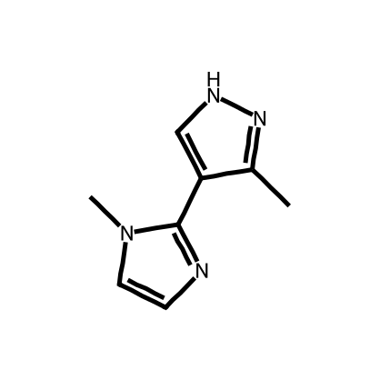 Cc1n[nH]cc1-c1nccn1C